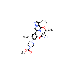 COc1cc(-c2cn3ncc(C)c3c(O[C@H](C)[C@H]3CNC(=O)C3)n2)ccc1N1CCN(C(=O)OC(C)(C)C)CC1